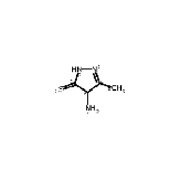 CC1=NNC(=S)C1N